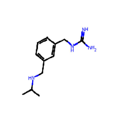 CC(C)NCc1cccc(CNC(=N)N)c1